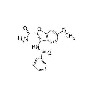 COc1ccc2c(NC(=O)c3ccccc3)c(C(N)=O)oc2c1